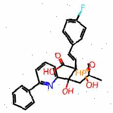 CC(C)CC(O)(c1cccc(-c2ccccc2)n1)C(C=Cc1ccc(F)cc1)(C(=O)O)[PH](=O)O